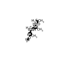 Cc1cc(C(C)NC(=O)c2cnc(OCC(F)(F)F)c(C)c2)nc(NC(=O)C(C)C)n1